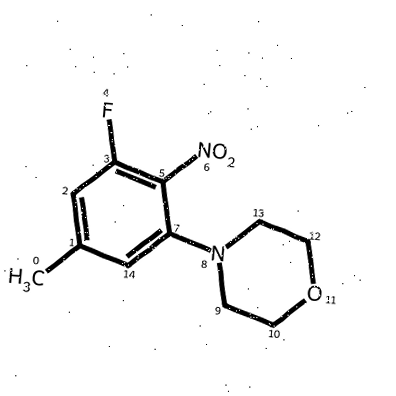 Cc1cc(F)c([N+](=O)[O-])c(N2CCOCC2)c1